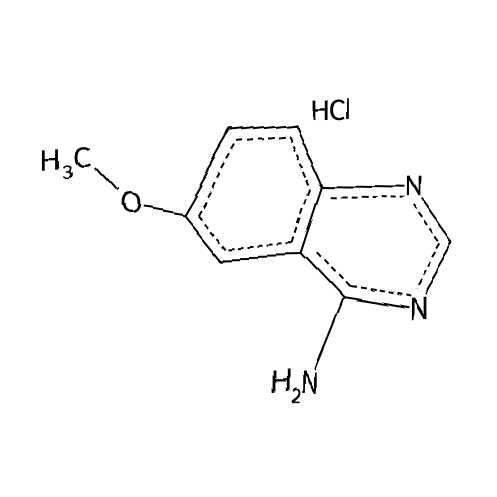 COc1ccc2ncnc(N)c2c1.Cl